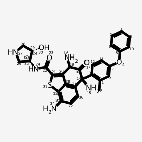 Cc1cc(Oc2ccccc2)ccc1C1(N)C(=O)C(N)c2c(C(=O)N[C@H]3CNC[C@@H]3O)sc3c(N)ccc1c23